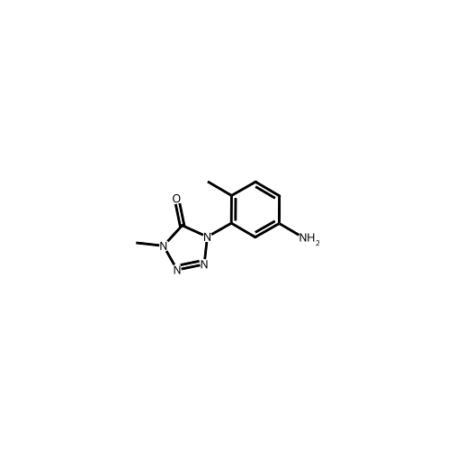 Cc1ccc(N)cc1-n1nnn(C)c1=O